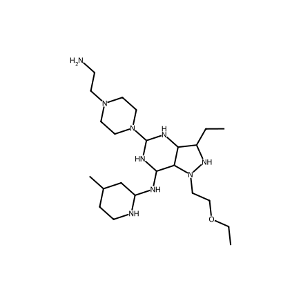 CCOCCN1NC(CC)C2NC(N3CCN(CCN)CC3)NC(NC3CC(C)CCN3)C21